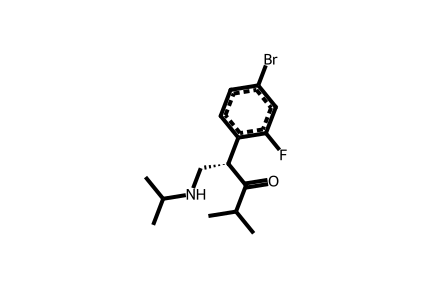 CC(C)NC[C@@H](C(=O)C(C)C)c1ccc(Br)cc1F